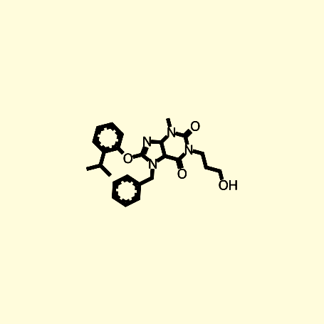 CC(C)c1ccccc1OC1=NC2C(C(=O)N(CCCO)C(=O)N2C)N1Cc1ccccc1